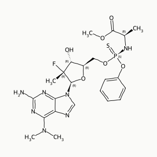 COC(=O)[C@@H](C)N[P@](=S)(OC[C@H]1O[C@@H](n2cnc3c(N(C)C)nc(N)nc32)[C@](C)(F)[C@@H]1O)Oc1ccccc1